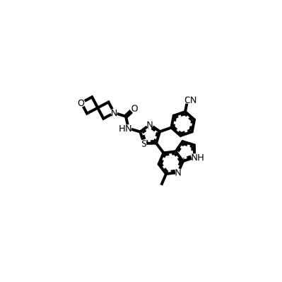 Cc1cc(-c2sc(NC(=O)N3CC4(COC4)C3)nc2-c2cccc(C#N)c2)c2cc[nH]c2n1